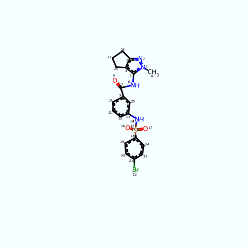 Cn1nc2c(c1NC(=O)c1cccc(NS(=O)(=O)c3ccc(Br)cc3)c1)CCC2